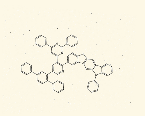 c1ccc(-c2ccc(-c3ccccc3)c(-c3cnc(-c4ccc5sc6cc7c8ccccc8n(-c8ccccc8)c7cc6c5c4)c(-c4nc(-c5ccccc5)nc(-c5ccccc5)n4)c3)c2)cc1